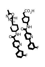 CC1=NN2[C@@H](O1)[C@@H]2[C@H]1CC[C@@H](NC(=O)c2ccc(-c3cccc(F)c3)nc2)CC1.O=C(O)CC1CCC(NC(=O)c2ccc(-c3cccc(F)c3)nc2)CC1